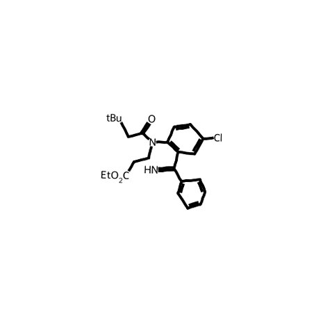 CCOC(=O)CCN(C(=O)CC(C)(C)C)c1ccc(Cl)cc1C(=N)c1ccccc1